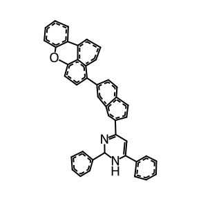 C1=C(c2ccccc2)NC(c2ccccc2)N=C1c1ccc2ccc(-c3ccc4c5c(cccc35)-c3ccccc3O4)cc2c1